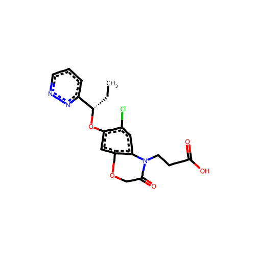 CC[C@H](Oc1cc2c(cc1Cl)N(CCC(=O)O)C(=O)CO2)c1cccnn1